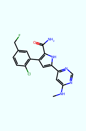 CNc1cc(-c2cc(-c3cc(CF)ccc3Cl)c(C(N)=O)[nH]2)ncn1